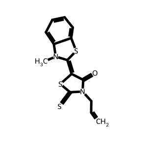 C=CCN1C(=O)C(=C2Sc3ccccc3N2C)SC1=S